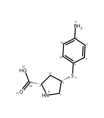 Bc1ccc(S[C@@H]2CN[C@H](C(=O)O)C2)cc1